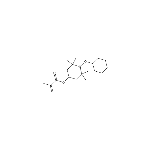 C=C(C)C(=O)OC1CC(C)(C)N(OC2CCCCC2)C(C)(C)C1